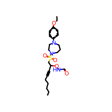 CCCCCC#CC(CS(=O)(=O)N1CCCN(c2ccc(OCC)cc2)CC1)ONC=O